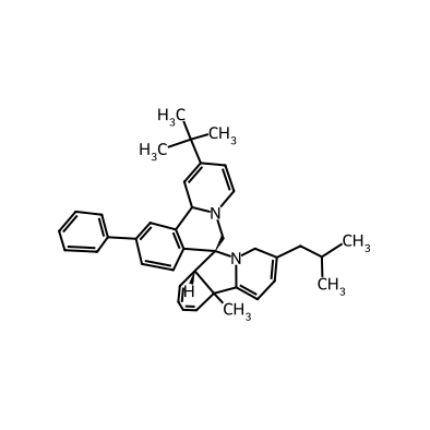 CC(C)CC1=CC=C2N(C1)[C@]1(CN3C=CC(C(C)(C)C)=CC3c3cc(-c4ccccc4)ccc31)[C@H]1C=CC=CC21C